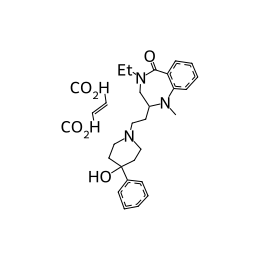 CCN1CC(CCN2CCC(O)(c3ccccc3)CC2)N(C)c2ccccc2C1=O.O=C(O)/C=C/C(=O)O